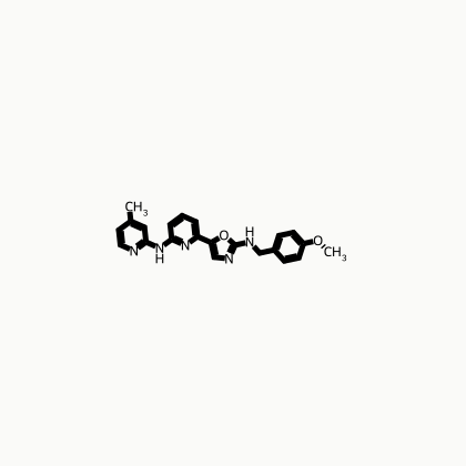 COc1ccc(CNc2ncc(-c3cccc(Nc4cc(C)ccn4)n3)o2)cc1